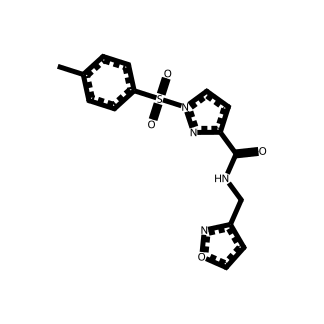 Cc1ccc(S(=O)(=O)n2ccc(C(=O)NCc3ccon3)n2)cc1